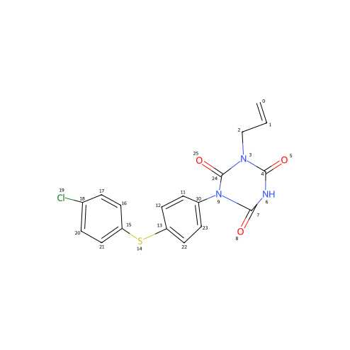 C=CCn1c(=O)[nH]c(=O)n(-c2ccc(Sc3ccc(Cl)cc3)cc2)c1=O